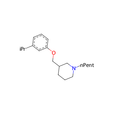 CCCCCN1CCCC(COc2cccc(C(C)C)c2)C1